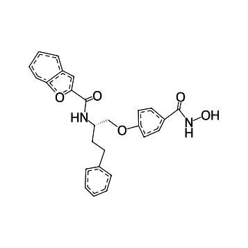 O=C(NO)c1ccc(OC[C@H](CCc2ccccc2)NC(=O)c2cc3ccccc3o2)cc1